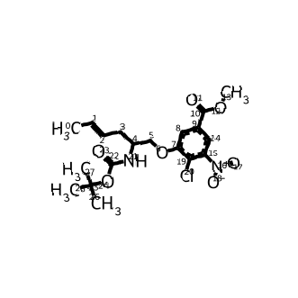 C/C=C/CC(COc1cc(C(=O)OC)cc([N+](=O)[O-])c1Cl)NC(=O)OC(C)(C)C